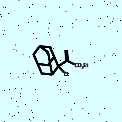 C=C(C(=O)OCC)C1(CC)C2CC3CC(C2)CC1C3